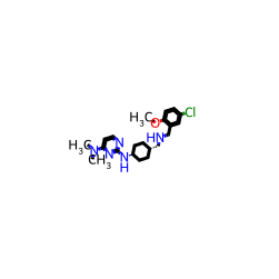 COc1ccc(Cl)cc1CNC[C@H]1CC[C@@H](Nc2nccc(N(C)C)n2)CC1